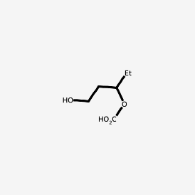 CCC(CCO)OC(=O)O